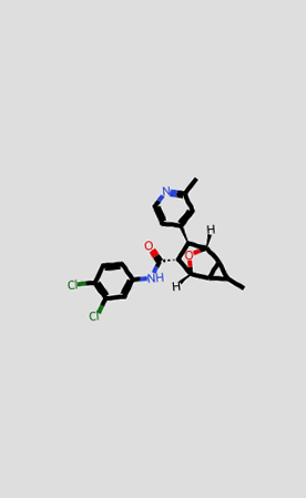 Cc1cc([C@@H]2[C@@H](C(=O)Nc3ccc(Cl)c(Cl)c3)[C@@H]3O[C@H]2C2C(C)C23)ccn1